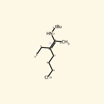 C/C(NC(C)(C)C)=C(/CI)CCCCl